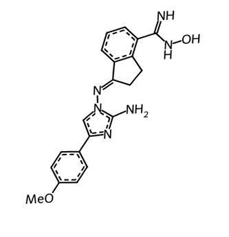 COc1ccc(-c2cn(N=C3CCc4c(C(=N)NO)cccc43)c(N)n2)cc1